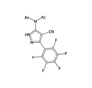 CC(=O)N(C(C)=O)c1[nH]nc(-c2c(F)c(F)c(F)c(F)c2F)c1C#N